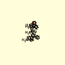 C[C@H](C[C@H]1OC(=O)N(c2cc(-c3cnc(N)nc3C(F)(F)F)nc(N3CCOCC3)n2)[C@H]1C)O[Si](c1ccccc1)(c1ccccc1)C(C)(C)C